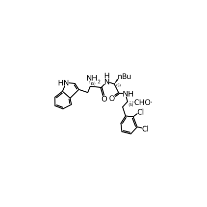 CCCC[C@H](NC(=O)[C@@H](N)Cc1c[nH]c2ccccc12)C(=O)N[C@H]([C]=O)Cc1cccc(Cl)c1Cl